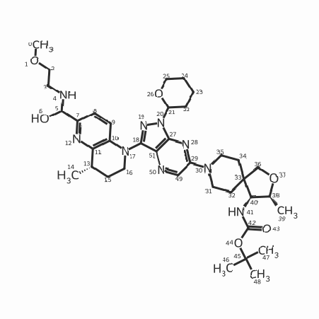 COCCNC(O)c1ccc2c(n1)[C@@H](C)CCN2c1nn(C2CCCCO2)c2nc(N3CCC4(CC3)CO[C@@H](C)[C@H]4NC(=O)OC(C)(C)C)cnc12